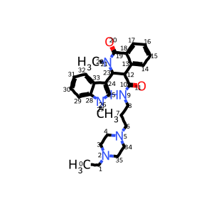 CCN1CCN(CCCNC(=O)C2c3ccccc3C(=O)N(C)C2c2cn(C)c3ccccc23)CC1